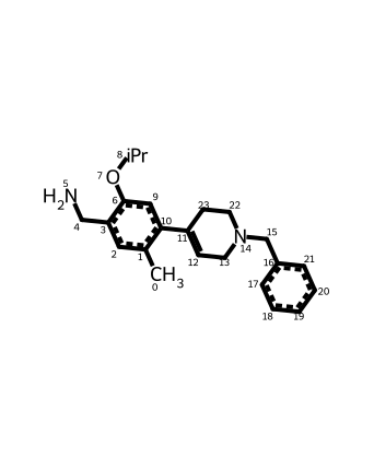 Cc1cc(CN)c(OC(C)C)cc1C1=CCN(Cc2ccccc2)CC1